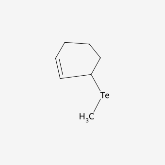 C[Te]C1C=CCCC1